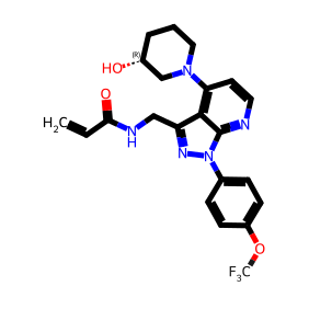 C=CC(=O)NCc1nn(-c2ccc(OC(F)(F)F)cc2)c2nccc(N3CCC[C@@H](O)C3)c12